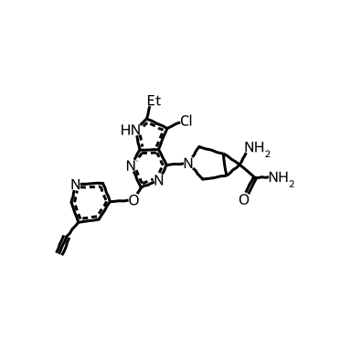 C#Cc1cncc(Oc2nc(N3CC4C(C3)C4(N)C(N)=O)c3c(Cl)c(CC)[nH]c3n2)c1